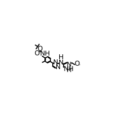 COCCN/C=C(\C=N)Nc1nccc(-c2ccc(CNC(=O)OC(C)(C)C)c(C)c2)n1